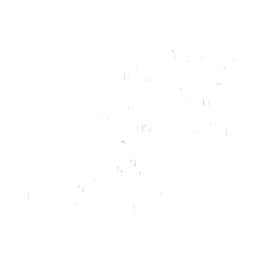 CCOC(=O)C[C@H](NC(=O)[C@H](CC(C)C)n1nc(CCN2CC(OC)C2)c(C)c(C)c1=O)c1cc(-c2c(C)cc(C)cc2C)cc(C)c1F